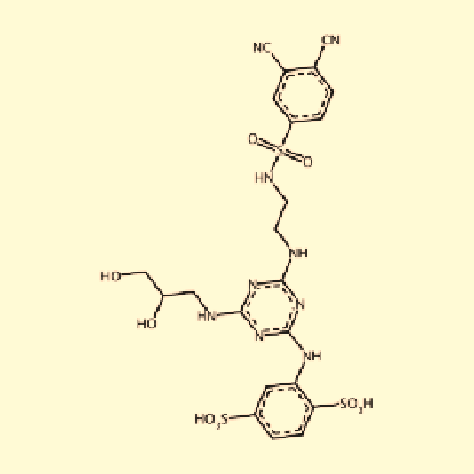 N#Cc1ccc(S(=O)(=O)NCCNc2nc(NCC(O)CO)nc(Nc3cc(S(=O)(=O)O)ccc3S(=O)(=O)O)n2)cc1C#N